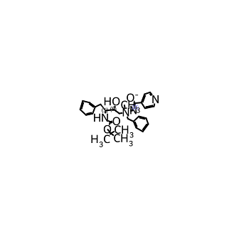 CC(C)(C)OC(=O)N[C@@H](Cc1ccccc1)[C@@H](O)C[N+](C)(Cc1ccccc1)/N=C(\[O-])c1ccncc1